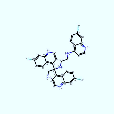 NCC(NCCNc1ccnc2cc(F)ccc12)(c1ccnc2cc(F)ccc12)c1ccnc2cc(F)ccc12